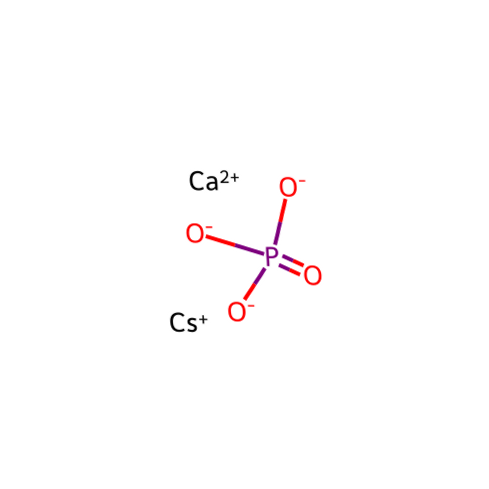 O=P([O-])([O-])[O-].[Ca+2].[Cs+]